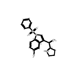 CC(c1cn(S(=O)(=O)c2ccccc2)c2ccc(Cl)cc12)C1CCCN1